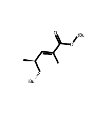 CC[C@@H](C)C[C@@H](C)/C=C(\C)C(=O)OC(C)(C)C